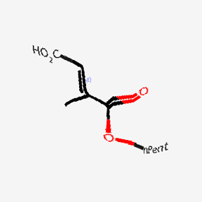 CCCCCOC(=O)/C(C)=C/C(=O)O